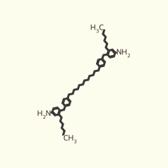 CCCCCCCc1cc(N)ccc1Cc1ccc(CCCCCCCCCCCCc2ccc(Cc3ccc(N)cc3CCCCCCC)cc2)cc1